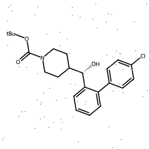 CC(C)(C)OC(=O)N1CCC([C@H](O)c2ccccc2-c2ccc(Cl)cc2)CC1